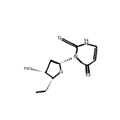 CC[C@H]1O[C@@H](n2c(=O)cc[nH]c2=O)C[C@H]1O